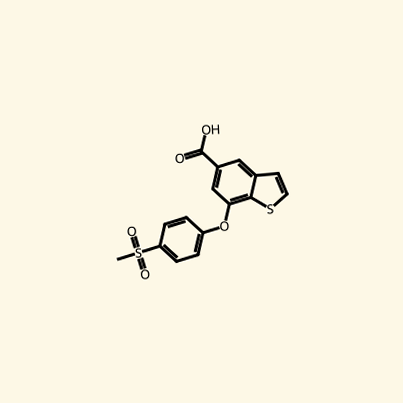 CS(=O)(=O)c1ccc(Oc2cc(C(=O)O)cc3ccsc23)cc1